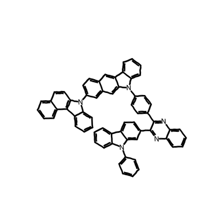 c1ccc(-n2c3ccccc3c3ccc(-c4nc5ccccc5nc4-c4ccc(-n5c6ccccc6c6cc7ccc(-n8c9ccccc9c9c%10ccccc%10ccc98)cc7cc65)cc4)cc32)cc1